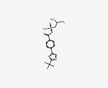 CC(C)CS(C)(=O)=NC(=O)c1ccc(-c2noc(C(F)(F)F)n2)cc1